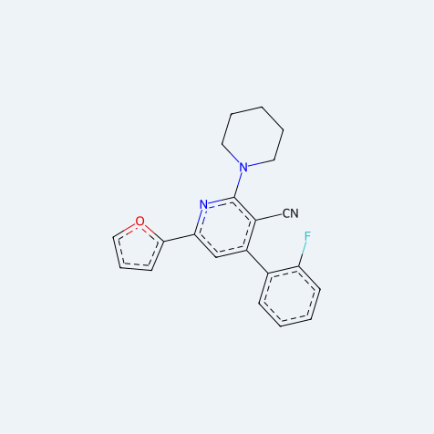 N#Cc1c(-c2ccccc2F)cc(-c2ccco2)nc1N1CCCCC1